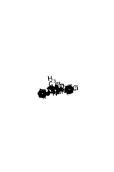 Cc1cn(Cc2ccccc2)c2ncc(C(=O)Nc3ccc(Cl)cc3)c(Cl)c12